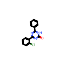 O=c1nc(-c2ccccc2Cl)nc(-c2ccccc2)[nH]1